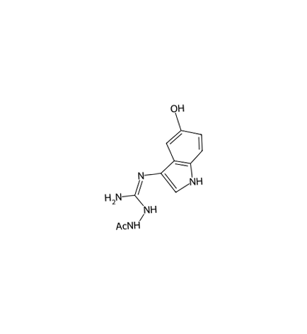 CC(=O)NNC(N)=Nc1c[nH]c2ccc(O)cc12